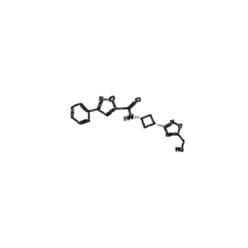 O=C(N[C@H]1C[C@@H](c2noc(CO)n2)C1)c1cc(-c2ccccc2)no1